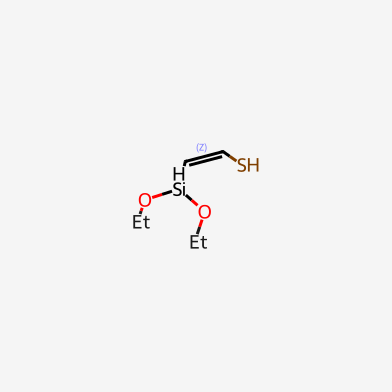 CCO[SiH](/C=C\S)OCC